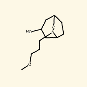 COCCCN1CC2CCC1CC(O)C2